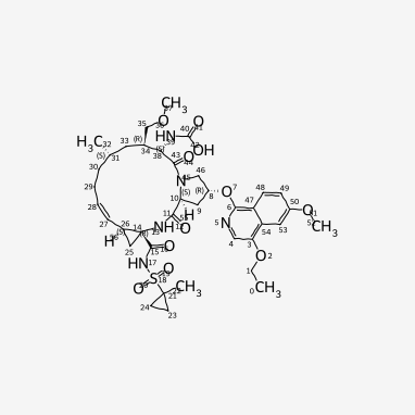 CCOc1cnc(O[C@@H]2C[C@H]3C(=O)N[C@]4(C(=O)NS(=O)(=O)C5(C)CC5)C[C@H]4C=CCC[C@H](C)C[C@@H](COC)[C@H](NC(=O)O)C(=O)N3C2)c2ccc(OC)cc12